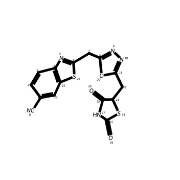 N#Cc1ccc2nc(Cc3nnc(CC4SC(=O)NC4=O)o3)sc2c1